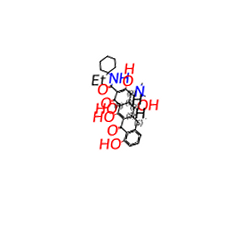 CCC1(NC(=O)C2=C(O)[C@H](N(C)C)[C@H]3[C@H](O)[C@@H]4C(=C(O)[C@@]3(O)C2=O)C(=O)c2c(O)cccc2[C@H]4C)CCCCC1